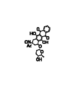 CC(=O)[C@]1(N=O)Cc2c(O)c3c(c(O)c2[C@@H](O[C@H]2CC[C@H](O)[C@H](C)O2)C1)C(=O)c1ccccc1C3=O